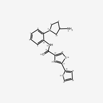 NC1CCN(c2ccccc2NC(=O)c2csc(-c3cccs3)n2)C1